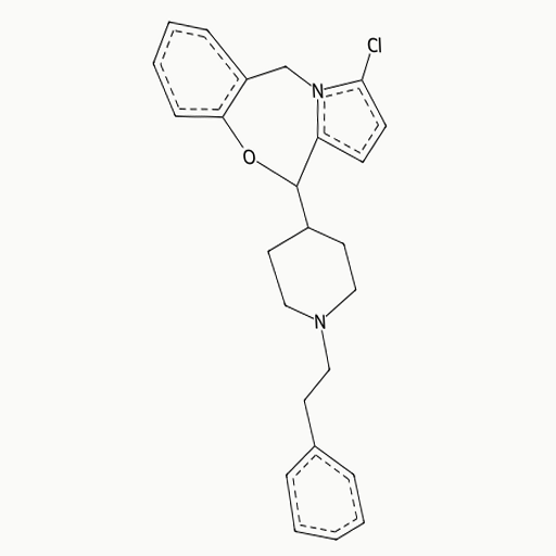 Clc1ccc2n1Cc1ccccc1OC2C1CCN(CCc2ccccc2)CC1